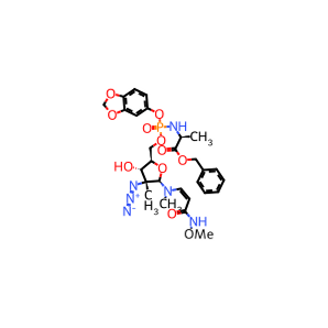 CONC(=O)/C=C\N(C)[C@@H]1O[C@H](COP(=O)(N[C@@H](C)C(=O)OCc2ccccc2)Oc2ccc3c(c2)OCO3)[C@@H](O)[C@@]1(C)N=[N+]=[N-]